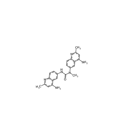 Cc1cc(N)c2cc(NC(=O)N(C)c3ccc4nc(C)cc(N)c4c3)ccc2n1